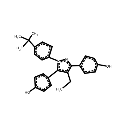 CCc1c(-c2ccc(O)cc2)nn(-c2ccc(C(C)(C)C)cc2)c1-c1ccc(O)cc1